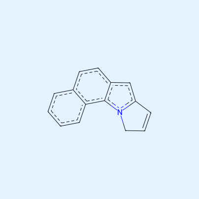 C1=Cc2cc3ccc4ccccc4c3n2C1